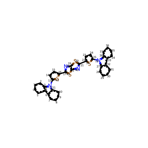 c1ccc2c(c1)c1ccccc1n2-c1ccc(-c2nc3sc(-c4ccc(-n5c6ccccc6c6ccccc65)s4)nc3s2)s1